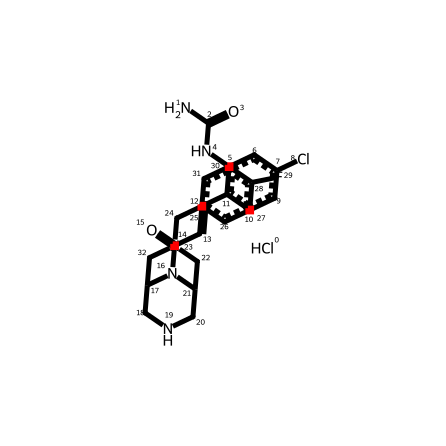 Cl.NC(=O)Nc1cc(Cl)ccc1C=CC(=O)N1C2CNCC1CN(Cc1ccc(F)cc1)C2